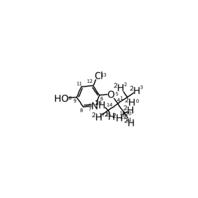 [2H]C([2H])([2H])C(Oc1ncc(O)cc1Cl)(C([2H])([2H])[2H])C([2H])([2H])[2H]